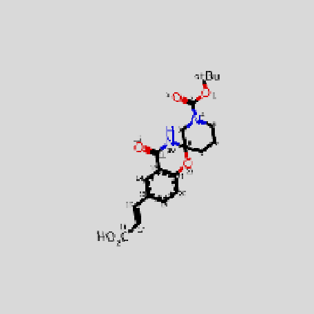 CC(C)(C)OC(=O)N1CCCC2(C1)NC(=O)c1cc(/C=C/C(=O)O)ccc1O2